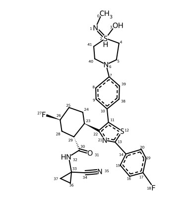 CN=[SH]1(O)CCN(c2ccc(-c3sc(-c4ccc(F)cc4)nc3[C@@H]3CC[C@H](F)C[C@H]3C(=O)NC3(C#N)CC3)cc2)CC1